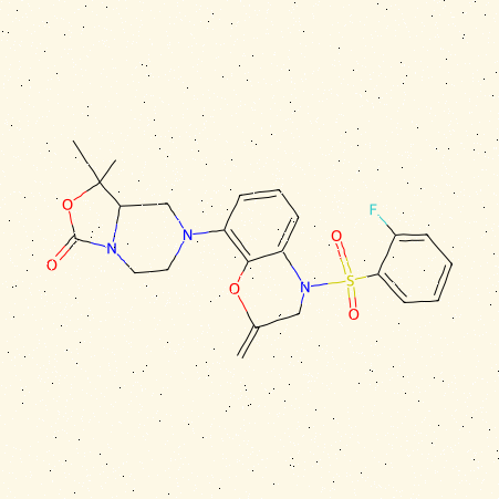 C=C1CN(S(=O)(=O)c2ccccc2F)c2cccc(N3CCN4C(=O)OC(C)(C)C4C3)c2O1